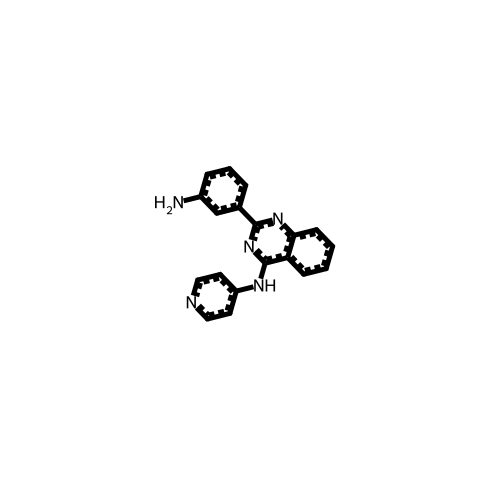 Nc1cccc(-c2nc(Nc3ccncc3)c3ccccc3n2)c1